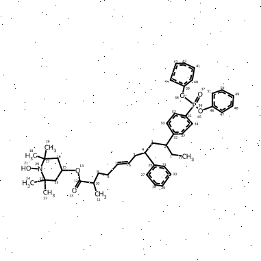 CCC(CC(C/C=C/CCC(C)C(=O)OC1CC(C)(C)N(O)C(C)(C)C1)c1ccccc1)c1ccc(P(=O)(Oc2ccccc2)Oc2ccccc2)cc1